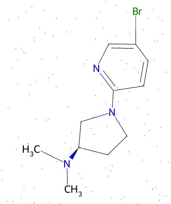 CN(C)[C@@H]1CCN(c2ccc(Br)cn2)C1